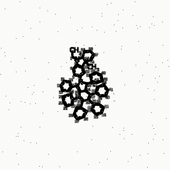 CCN1c2ccc(N3C(c4ccccc4)=C4C(c5ccccc5)=C(c5ccccc5)C(c5ccccc5)=C(c5ccccc5)C4C3c3ccccc3)cc2C2(C)C=CC=CC12